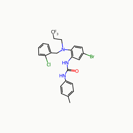 Cc1ccc(NC(=O)Nc2cc(Br)ccc2N(CCC(F)(F)F)Cc2ccccc2Cl)cc1